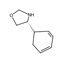 C1=CCC([C@@H]2COCN2)C=C1